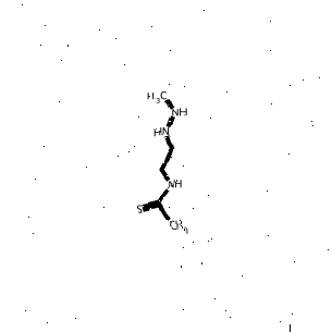 CNNCCNC(C)=S